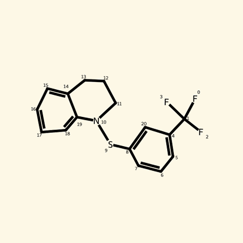 FC(F)(F)c1cccc(SN2CCCc3ccccc32)c1